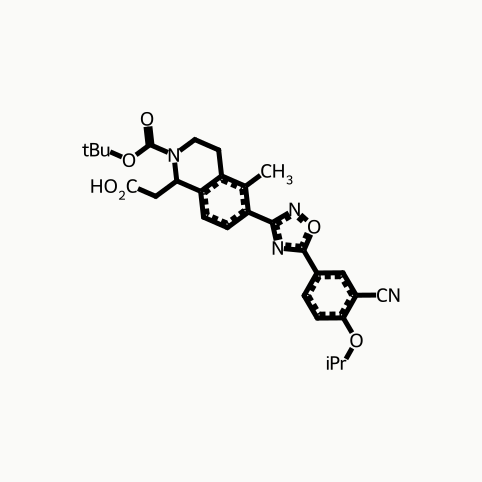 Cc1c(-c2noc(-c3ccc(OC(C)C)c(C#N)c3)n2)ccc2c1CCN(C(=O)OC(C)(C)C)C2CC(=O)O